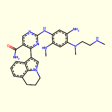 CNCCN(C)c1cc(NC)c(Nc2ncc(C(N)=O)c(-c3cn4c5c(cccc35)CCC4)n2)cc1N